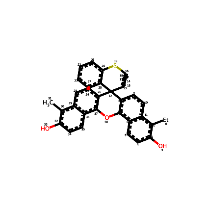 CCc1c(O)ccc2c3c(ccc12)C1(c2ccccc2Sc2ccccc21)c1ccc2c(C)c(O)ccc2c1O3